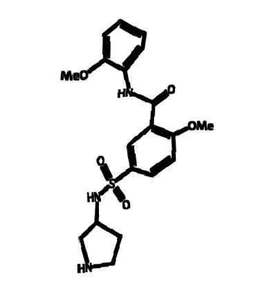 COc1ccccc1NC(=O)c1cc(S(=O)(=O)NC2CCNC2)ccc1OC